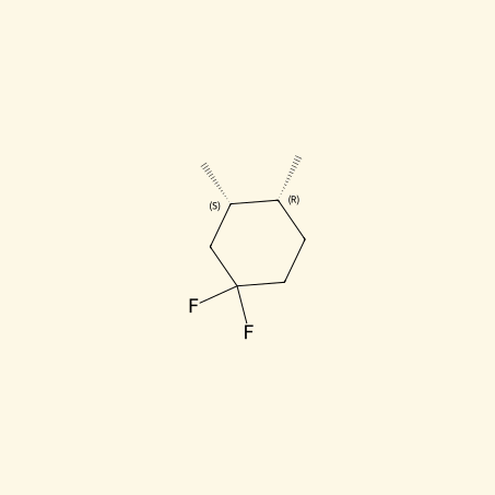 C[C@@H]1CCC(F)(F)C[C@@H]1C